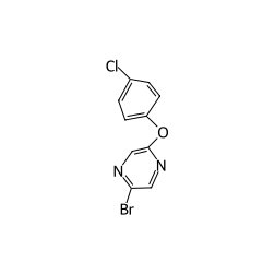 Clc1ccc(Oc2cnc(Br)cn2)cc1